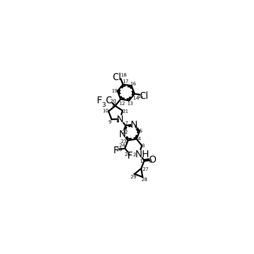 O=C(NCc1cnc(N2CCC(c3cc(Cl)cc(Cl)c3)(C(F)(F)F)C2)nc1C(F)F)C1CC1